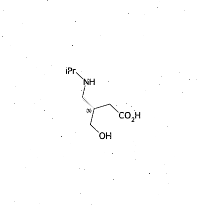 CC(C)NC[C@@H](CO)CC(=O)O